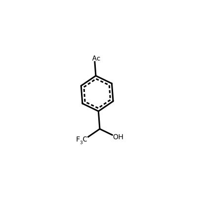 CC(=O)c1ccc(C(O)C(F)(F)F)cc1